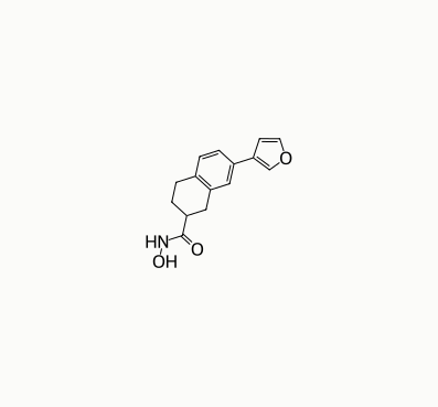 O=C(NO)C1CCc2ccc(-c3ccoc3)cc2C1